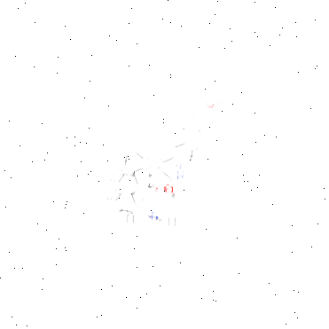 COc1nc2ccc(CCCCO)cc2cc1[C@@H](c1ccccc1)[C@@](O)(CCN(C)C)c1cccc2ccccc12